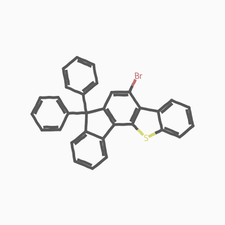 Brc1cc2c(c3sc4ccccc4c13)-c1ccccc1C2(c1ccccc1)c1ccccc1